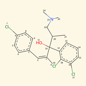 CC(=Cc1ccc(Cl)cc1)C(O)(c1cccc(Cl)c1Cl)C(C)CN(C)C